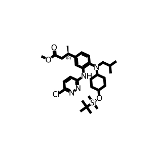 COC(=O)C[C@@H](C)c1ccc(N(CC(C)C)C2CCC(O[Si](C)(C)C(C)(C)C)CC2)c(Nc2ccc(Cl)nn2)c1